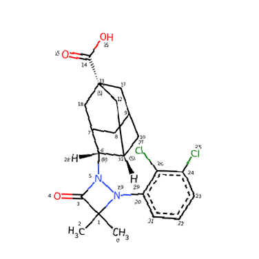 CC1(C)C(=O)N([C@@H]2C3CC4C[C@H]2C[C@](C(=O)O)(C4)C3)N1c1cccc(Cl)c1Cl